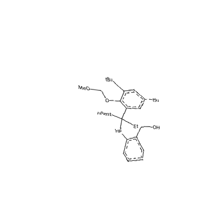 CCCCCC(CC)(Pc1ccccc1CO)c1cc(C(C)(C)C)cc(C(C)(C)C)c1OCOC